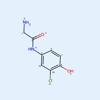 NCC(=O)Nc1ccc(O)c(Cl)c1